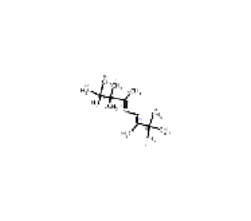 C/C(=C\N=C(/C)C(C)(C)C(C)(C)C)C(C)(C)C